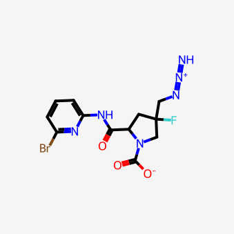 N=[N+]=NCC1(F)CC(C(=O)Nc2cccc(Br)n2)N(C(=O)[O-])C1